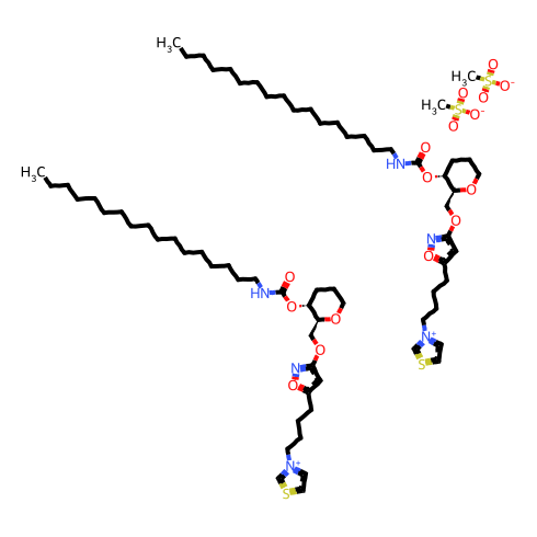 CCCCCCCCCCCCCCCCCNC(=O)O[C@@H]1CCCO[C@H]1COc1cc(CCCC[n+]2ccsc2)on1.CCCCCCCCCCCCCCCCCNC(=O)O[C@@H]1CCCO[C@H]1COc1cc(CCCC[n+]2ccsc2)on1.CS(=O)(=O)[O-].CS(=O)(=O)[O-]